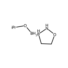 B1CCON1.BOC(C)C